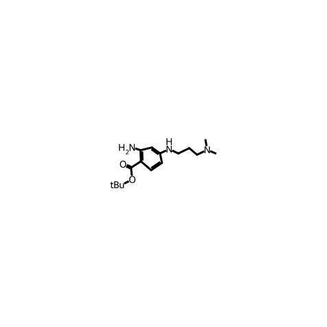 CN(C)CCCNc1ccc(C(=O)OC(C)(C)C)c(N)c1